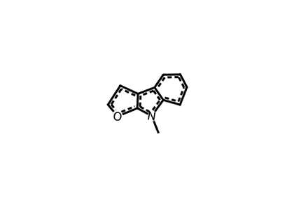 Cn1c2ccccc2c2ccoc21